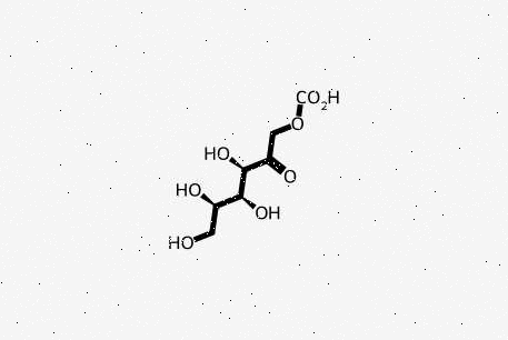 O=C(O)OCC(=O)[C@H](O)[C@@H](O)[C@H](O)CO